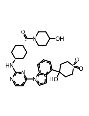 O=C([C@H]1CC[C@H](Nc2nccc(-n3ccc4c(C5(O)CCS(=O)(=O)CC5)cccc43)n2)CC1)N1CCC(O)CC1